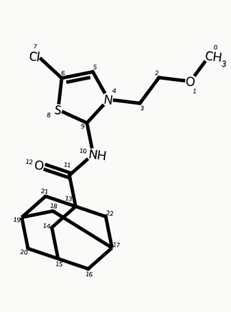 COCCN1C=C(Cl)SC1NC(=O)C12CC3CC(CC(C3)C1)C2